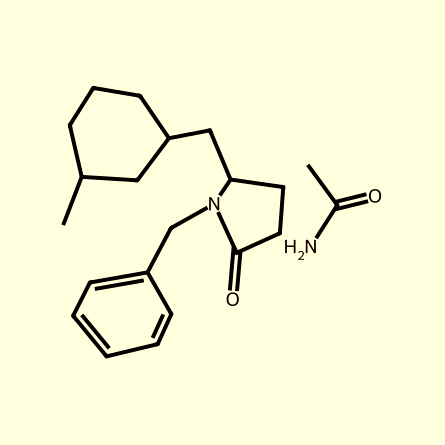 CC(N)=O.CC1CCCC(CC2CCC(=O)N2Cc2ccccc2)C1